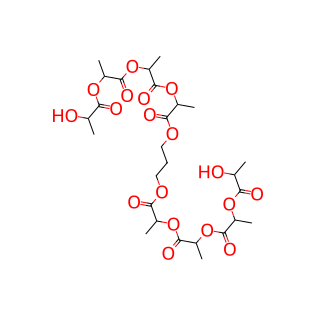 CC(O)C(=O)OC(C)C(=O)OC(C)C(=O)OC(C)C(=O)OCCCOC(=O)C(C)OC(=O)C(C)OC(=O)C(C)OC(=O)C(C)O